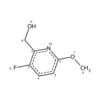 COc1ccc(F)c(CO)n1